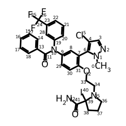 Cn1ncc(Cl)c1-c1cc(N(C(=O)c2ccccc2)c2cccc(C(F)(F)F)c2)ccc1OCCN1CCCC1(I)C(N)=O